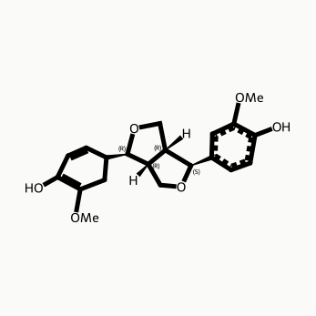 COC1=C(O)C=CC([C@H]2OC[C@H]3[C@@H]2CO[C@@H]3c2ccc(O)c(OC)c2)C1